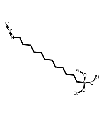 CCO[Si](CCCCCCCCCCCCN=[N+]=[N-])(OCC)OCC